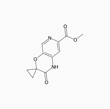 COC(=O)c1cc2c(cn1)OC1(CC1)C(=O)N2